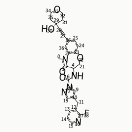 CN1C(=O)C(NC(=O)n2cc(Cc3cccnc3F)cn2)COc2ccc(C#CC3(O)CCOCC3)cc21